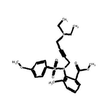 CCN(CC)CC#CCN(c1c(C)cccc1C(=O)OC)S(=O)(=O)c1ccc(OC)cc1